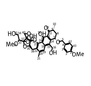 COc1ccc(CO[C@H]2C[C@@H](C)C(=O)c3c2c(CO)c2cc(C)c4c(c2c3O)OC2(O)C3OC(C(CO)OC)(OC43)C23CO3)cc1